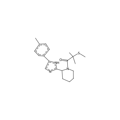 CSC(C)(C)C(=O)N1CCCCC1c1ncc(-c2ccc(C)cc2)[nH]1